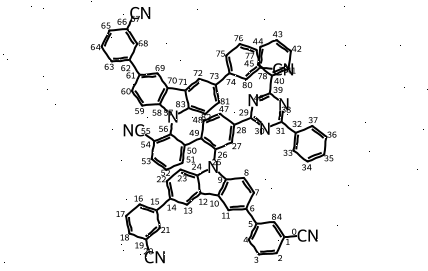 N#Cc1cccc(-c2ccc3c(c2)c2cc(-c4cccc(C#N)c4)ccc2n3-c2cc(-c3nc(-c4ccccc4)nc(-c4ccccc4)n3)ccc2-c2cccc(C#N)c2-n2c3ccc(-c4cccc(C#N)c4)cc3c3cc(-c4cccc(C#N)c4)ccc32)c1